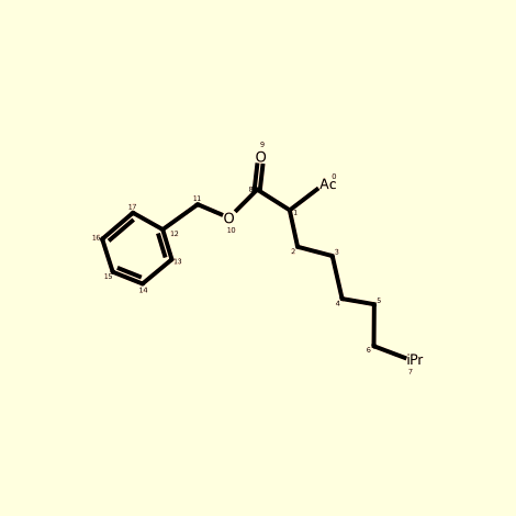 CC(=O)C(CCCCCC(C)C)C(=O)OCc1ccccc1